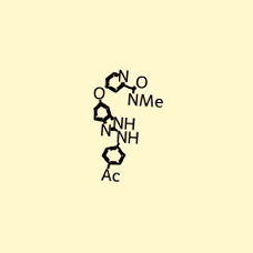 CNC(=O)c1cc(Oc2ccc3nc(Nc4ccc(C(C)=O)cc4)[nH]c3c2)ccn1